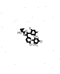 Cc1cc(Cl)cc(C)c1-n1cc(-c2nc(C3(O)CC3)oc2-c2ccc(F)cc2F)ccc1=O